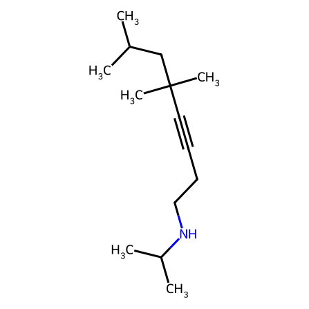 CC(C)CC(C)(C)C#CCCNC(C)C